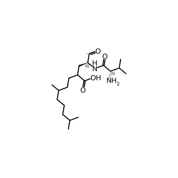 CC(C)CCCC(C)CCC(C[C@@H]([C]=O)NC(=O)[C@@H](N)C(C)C)C(=O)O